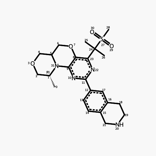 C[C@@H]1COCC2COc3c(nc(-c4ccc5c(c4)CCNC5)nc3C(C)(C)S(C)(=O)=O)N21